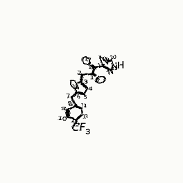 O=C(Cc1ccc(Cc2ccc(C(F)(F)F)cc2)o1)C(=O)c1nc[nH]n1